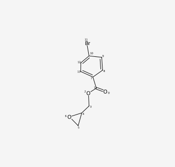 O=C(OCC1CO1)c1ccc(Br)cc1